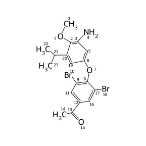 COc1c(N)cc(Oc2c(Br)cc(C(C)=O)cc2Br)cc1C(C)C